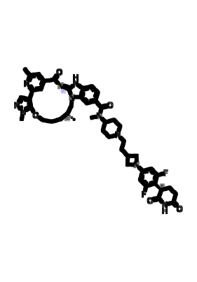 Cc1cc2cc(n1)-c1cnn(C)c1OCCC[C@@H](C)CN1/C(=N/C2=O)Nc2ccc(C(=O)N(C)C3CCN(CCC4CN(c5cc(F)c([C@H]6CCC(=O)NC6=O)c(F)c5)C4)CC3)cc21